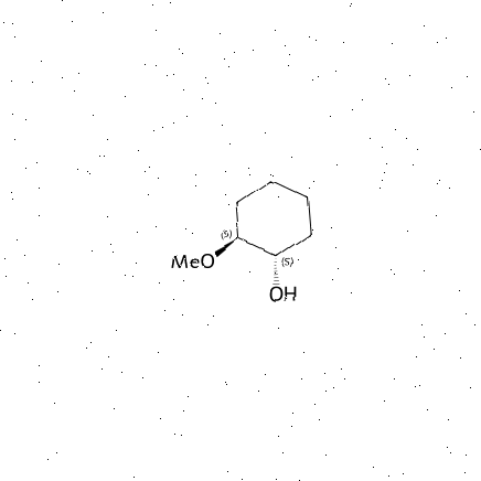 CO[C@H]1CCCC[C@@H]1O